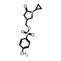 Cc1ccc(S(=O)(=O)OCC2CC(=O)N(C3CC3)C2)cc1